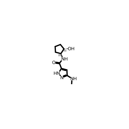 CNc1cc(C(=O)N[C@H]2CCC[C@@H]2O)[nH]n1